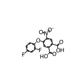 O=C(O)c1cc(Oc2ccc(F)cc2F)c([N+](=O)[O-])cc1C(=O)O